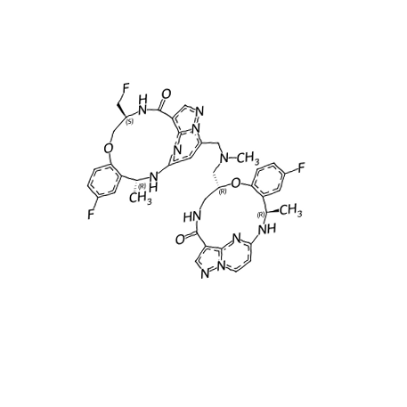 C[C@H]1Nc2cc(CN(C)C[C@H]3CNC(=O)c4cnn5ccc(nc45)N[C@H](C)c4cc(F)ccc4O3)n3ncc(c3n2)C(=O)N[C@H](CF)COc2ccc(F)cc21